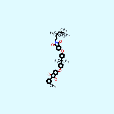 CCC(C)(C)CC(C)(C)CCCN1C(=O)c2ccc(Oc3ccc(C(C)(C)c4ccc(Oc5ccc6c(c5)C(=O)C(c5cccc(C)c5)C6=O)cc4)cc3)cc2C1=O